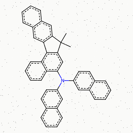 CC1(C)c2cc3ccccc3cc2-c2c1cc(N(c1ccc3ccccc3c1)c1ccc3ccccc3c1)c1ccccc21